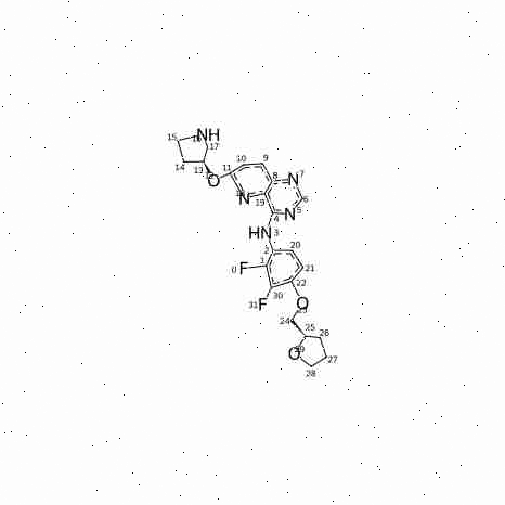 Fc1c(Nc2ncnc3ccc(O[C@H]4CCNC4)nc23)ccc(OC[C@H]2CCCO2)c1F